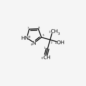 C#CC(C)(O)c1cc[nH]n1